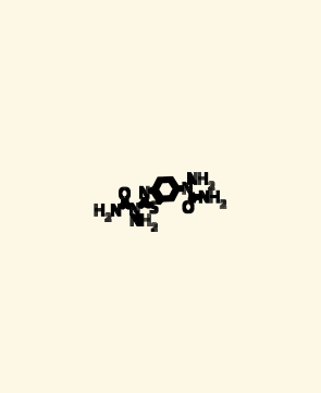 NC(=O)N(N)c1nc2c(s1)CC(N(N)C(N)=O)CC2